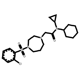 O=C(CN1CCCN(S(=O)(=O)c2ccccc2Cl)CC1)N(C1CCCCC1)C1CC1